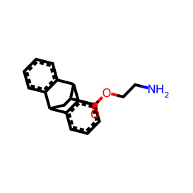 NCCOC(=O)C1CC2c3ccccc3C1c1ccccc12